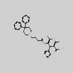 COC(=O)C1=C(C)NC(C)=C(NC(=O)CCCN2CCC(c3ccccc3)(c3ccccc3)CC2)C1c1ccoc1